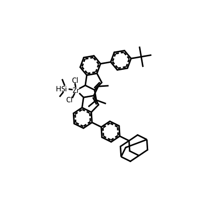 CCC1=Cc2c(-c3ccc(C45CC6CC(CC(C6)C4)C5)cc3)cccc2[CH]1[Zr]([Cl])([Cl])([CH]1C(C(C)C)=Cc2c(-c3ccc(C(C)(C)C)cc3)cccc21)[SiH](C)C